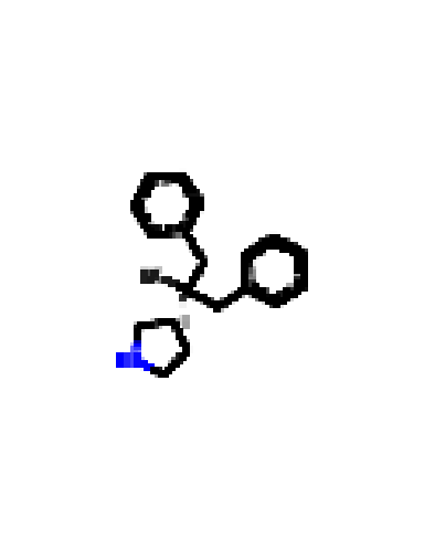 N#CC(Cc1ccccc1)(Cc1ccccc1)[C@@H]1CCNC1